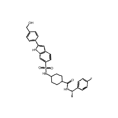 C[C@@H](NC(=O)C1CCC(NS(=O)(=O)c2ccc3cc(-c4ccc(CO)cc4)[nH]c3c2)CC1)c1ccc(F)cc1